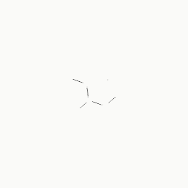 C.CCOP(O)OCC